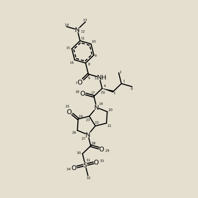 CC(C)C[C@H](NC(=O)c1ccc(N(C)C)cc1)C(=O)N1CCC2C1C(=O)CN2C(=O)CS(C)(=O)=O